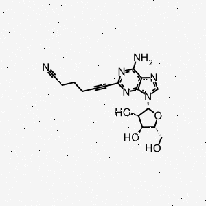 N#CCCCC#Cc1nc(N)c2ncn([C@@H]3O[C@H](CO)[C@@H](O)[C@H]3O)c2n1